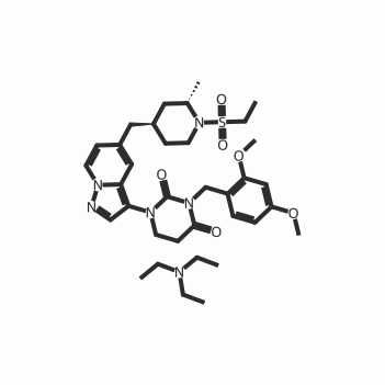 CCN(CC)CC.CCS(=O)(=O)N1CC[C@@H](Cc2ccn3ncc(N4CCC(=O)N(Cc5ccc(OC)cc5OC)C4=O)c3c2)C[C@@H]1C